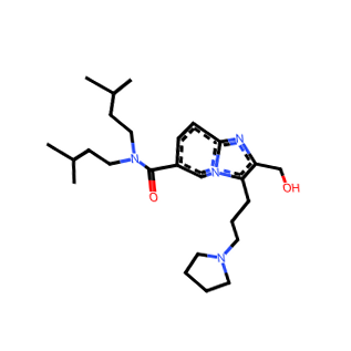 CC(C)CCN(CCC(C)C)C(=O)c1ccc2nc(CO)c(CCCN3CCCC3)n2c1